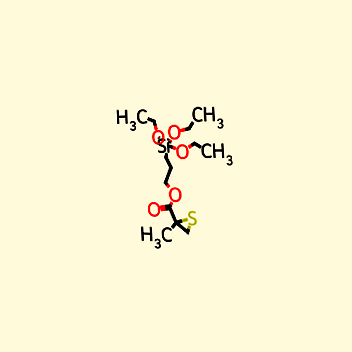 CCO[Si](CCCOC(=O)C1(C)CS1)(OCC)OCC